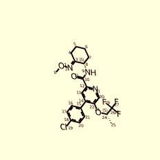 CON=C1CCCC[C@@H]1NC(=O)c1cc(-c2ccc(Cl)cc2)c(O[C@@H](C)C(F)(F)F)cn1